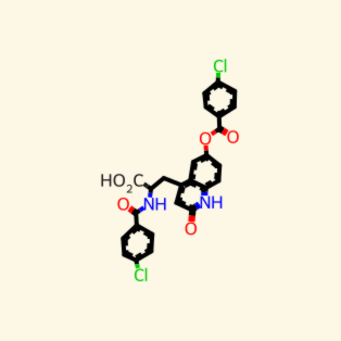 O=C(NC(Cc1cc(=O)[nH]c2ccc(OC(=O)c3ccc(Cl)cc3)cc12)C(=O)O)c1ccc(Cl)cc1